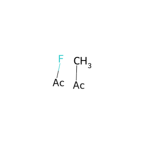 CC(=O)F.CC(C)=O